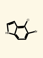 Clc1c(Br)ccc2[nH]ccc12